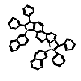 c1ccc(-c2c(-c3ccccc3)n(-c3ccc4ccccc4c3)c3c2ccc2c4ccc5c(c4ccc23)N(c2ccc3ccccc3c2)C(c2ccccc2)C5c2ccccc2)cc1